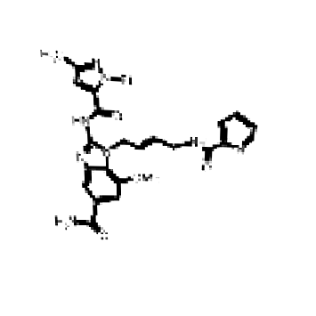 CCn1nc(C)cc1C(=O)Nc1nc2cc(C(N)=O)cc(OC)c2n1C/C=C/CNC(=O)c1ccccn1